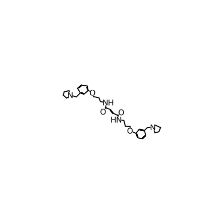 O=C(C=CC(=O)NCCCOc1cccc(CN2CCCC2)c1)NCCCOc1cccc(CN2CCCC2)c1